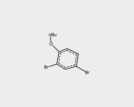 CCCCOc1ccc(Br)cc1Br